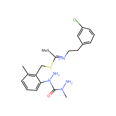 CS/C(=N\CCc1cccc(Cl)c1)SCc1c(C)cccc1N(N)C(=O)N(C)N